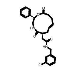 O=C(C[C@@H]1C/C=C/CCC(=O)O[C@H](c2ccccc2)CNC1=O)NCc1cccc(Cl)c1